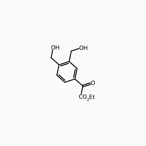 CCOC(=O)C(=O)c1ccc(CO)c(CO)c1